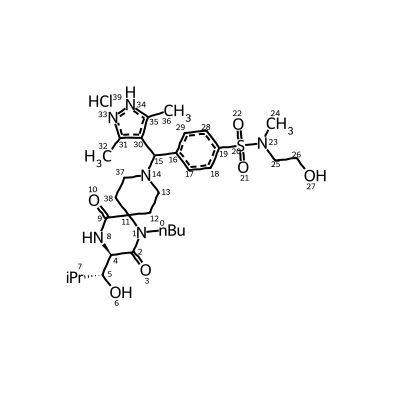 CCCCN1C(=O)[C@@H]([C@H](O)C(C)C)NC(=O)C12CCN(C(c1ccc(S(=O)(=O)N(C)CCO)cc1)c1c(C)n[nH]c1C)CC2.Cl